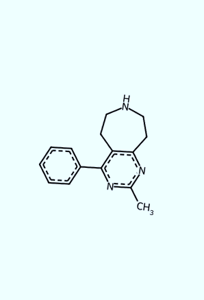 Cc1nc2c(c(-c3ccccc3)n1)CCNCC2